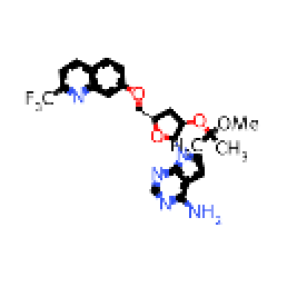 COC(C)(C)O[C@@H]1C[C@@H](COc2ccc3ccc(C(F)(F)F)nc3c2)O[C@H]1n1ccc2c(N)ncnc21